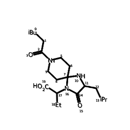 CCC(C)CC(=O)N1CCC2(CC1)NC(CC(C)C)C(=O)N2C(CC)C(=O)O